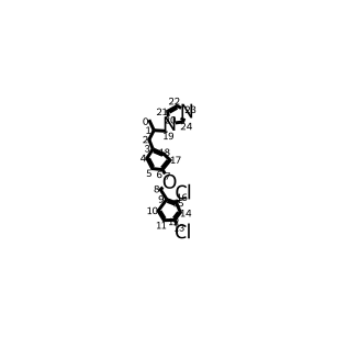 CC(Cc1ccc(OCc2ccc(Cl)cc2Cl)cc1)Cn1ccnc1